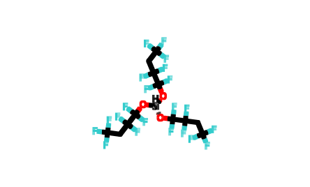 FC(F)(F)CC(F)(F)C(F)(F)O[SiH](OC(F)(F)C(F)(F)CC(F)(F)F)OC(F)(F)C(F)(F)CC(F)(F)F